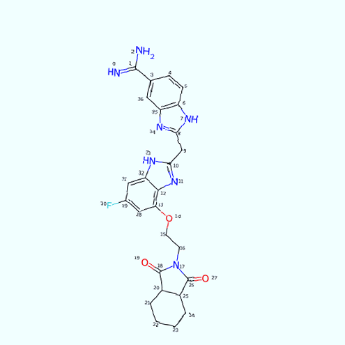 N=C(N)c1ccc2[nH]c(Cc3nc4c(OCCN5C(=O)C6CCCCC6C5=O)cc(F)cc4[nH]3)nc2c1